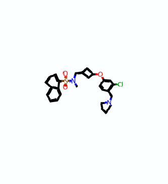 CN(CC1CC(Oc2ccc(CN3CCCC3)c(Cl)c2)C1)S(=O)(=O)c1cccc2ccccc12